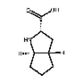 O=C(O)[C@@H]1C[C@@H]2CCC[C@H]2N1